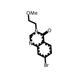 COCCn1cnc2cc(Br)ccc2c1=O